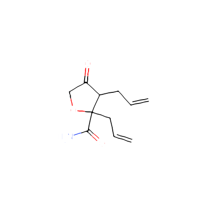 C=CC[C]1C(=O)COC1(CC=C)C(N)=O